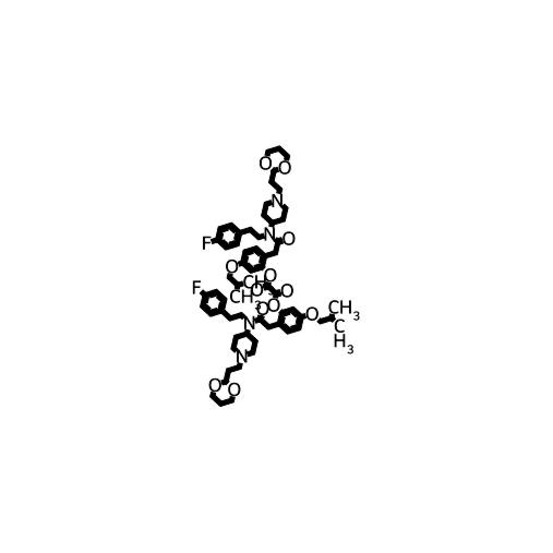 CC(C)COc1ccc(CC(=O)N(CCc2ccc(F)cc2)C2CCN(CCC3OCCCO3)CC2)c(OC(=O)C(=O)Oc2cc(OCC(C)C)ccc2CC(=O)N(CCc2ccc(F)cc2)C2CCN(CCC3OCCCO3)CC2)c1